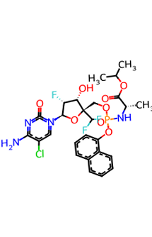 CC(C)OC(=O)[C@H](C)NP(=O)(OC[C@@]1(C(F)F)O[C@@H](n2cc(Cl)c(N)nc2=O)[C@H](F)[C@@H]1O)Oc1cccc2ccccc12